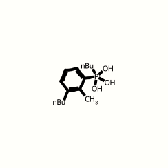 CCCCc1cccc(P(O)(O)(O)CCCC)c1C